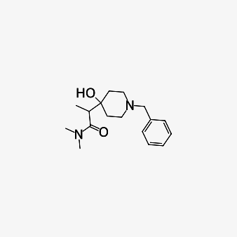 CC(C(=O)N(C)C)C1(O)CCN(Cc2ccccc2)CC1